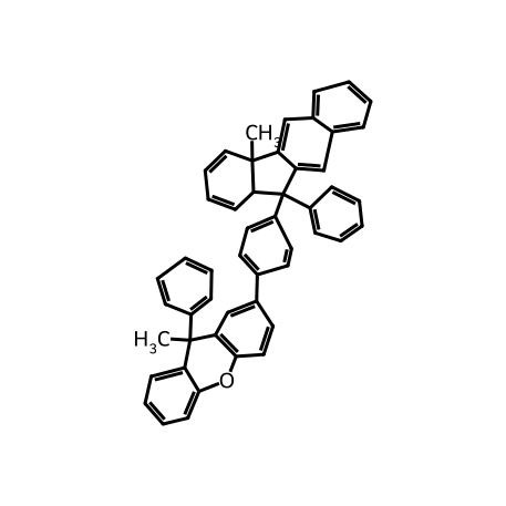 CC1(c2ccccc2)c2ccccc2Oc2ccc(-c3ccc(C4(c5ccccc5)c5cc6ccccc6cc5C5(C)C=CC=CC54)cc3)cc21